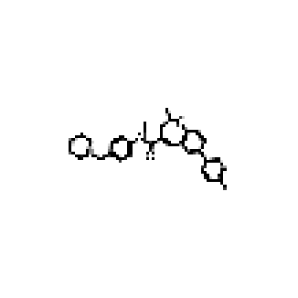 Cc1ccc(-c2ccc3c(c2)C=C(C(=O)Nc2ccc(CN4CCCCC4)cc2)CC(C)O3)cc1